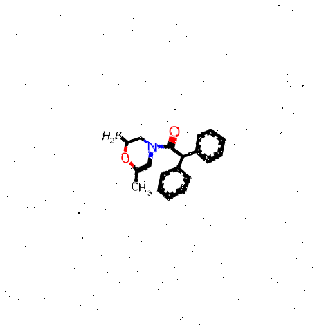 BC1CN(C(=O)C(c2ccccc2)c2ccccc2)CC(C)O1